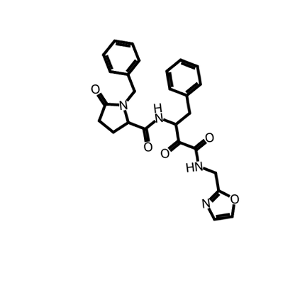 O=C(NCc1ncco1)C(=O)C(Cc1ccccc1)NC(=O)C1CCC(=O)N1Cc1ccccc1